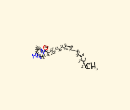 CCCCCCCC/C=C\CCCCCCCC(=O)N1CCCNCC1